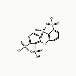 O=S(=O)(O)c1cccc(Oc2cccc(S(=O)(=O)O)c2S(=O)(=O)O)c1S(=O)(=O)O